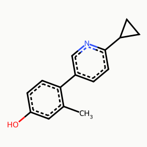 Cc1cc(O)ccc1-c1ccc(C2CC2)nc1